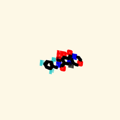 O=C(NCc1c(F)cc(F)cc1F)c1cn2c(c(O)c1=O)C(=O)N1CCOC[C@@H]2C1